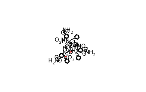 NS(=O)(=O)c1ccc(N[C@@H](CSc2ccccc2)C(=O)N2CCOCC2N(C(=O)[C@H](CSc2ccccc2)Nc2ccc(S(N)(=O)=O)cc2[N+](=O)[O-])C2COCCN2C(=O)[C@H](CSc2ccccc2)Nc2ccc(S(N)(=O)=O)cc2[N+](=O)[O-])c([N+](=O)[O-])c1